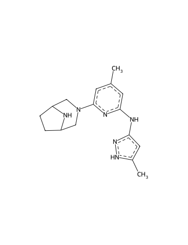 Cc1cc(Nc2cc(C)[nH]n2)nc(N2CC3CCC(C2)N3)c1